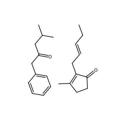 CC(C)CC(=O)Cc1ccccc1.CCC=CCC1=C(C)CCC1=O